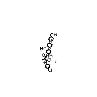 Cc1c(C(=O)Nc2ccc(N3CCC(N4CCC(O)CC4)CC3)c(C#N)c2)cnn1-c1ccc(Cl)cc1